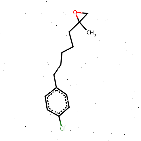 CC1(CCCCCc2ccc(Cl)cc2)CO1